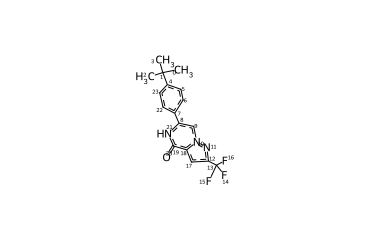 CC(C)(C)c1ccc(-c2cn3nc(C(F)(F)F)cc3c(=O)[nH]2)cc1